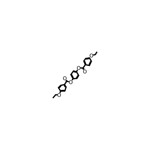 CCOc1ccc(C(=O)Oc2ccc(OC(=O)c3ccc(OCC)cc3)cc2)cc1